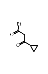 CCC(=O)CC(=O)C1CC1